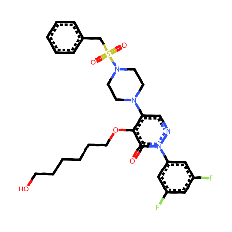 O=c1c(OCCCCCCO)c(N2CCN(S(=O)(=O)Cc3ccccc3)CC2)cnn1-c1cc(F)cc(F)c1